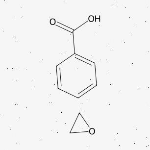 C1CO1.O=C(O)c1ccccc1